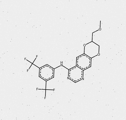 COCC1COc2cc3ncnc(Nc4cc(C(F)(F)F)cc(C(F)(F)F)c4)c3cc2O1